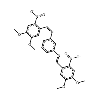 COc1cc(/C=N\c2cccc(/N=C/c3cc(OC)c(OC)cc3[N+](=O)[O-])c2)c([N+](=O)[O-])cc1OC